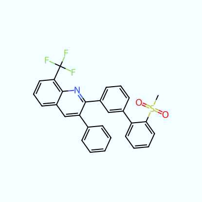 CS(=O)(=O)c1ccccc1-c1cccc(-c2nc3c(C(F)(F)F)cccc3cc2-c2ccccc2)c1